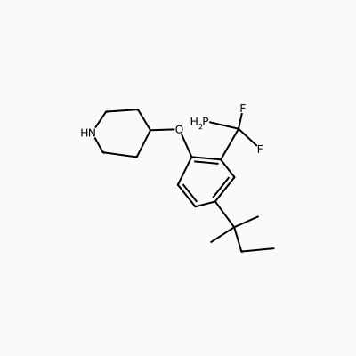 CCC(C)(C)c1ccc(OC2CCNCC2)c(C(F)(F)P)c1